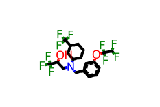 OC(CN(Cc1cccc(OC(F)(F)C(F)F)c1)C1CCCC(C(F)(F)F)C1)C(F)(F)F